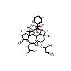 C=CC(O)O[C@H]1C[C@H]2OC[C@@]2(OC(C)=O)C2[C@H](OC(=O)c3ccccc3)C3(C(C)(C)O)CCC(C)=C3[C@H](OC(C)=O)C[C@@]21C